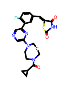 O=C1NC(=O)C(=Cc2ccc(F)c(-c3cncc(N4CCCN(C(=O)C5CC5)CC4)n3)c2)S1